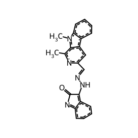 Cc1nc(C=NNC2=c3ccccc3=NC2=O)cc2c3ccccc3n(C)c12